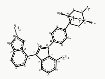 CC(=O)N1C[C@H]2CC[C@@H]1CN2c1ccc([N+]2=[N+]=C(c3cccc4nn(C)cc34)c3cccc(C)c32)cn1